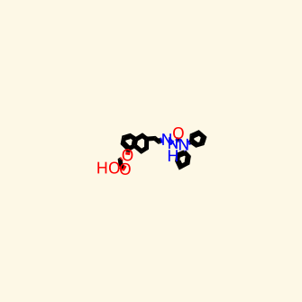 O=C(O)COc1cccc2c1CCC(CC=NNC(=O)N(c1ccccc1)c1ccccc1)C2